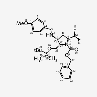 COc1ccc(CN[C@H]2C[C@@H](C(F)F)N(C(=O)OCc3ccccc3)[C@H]2CO[Si](C)(C)C(C)(C)C)cc1